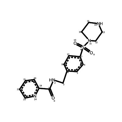 O=C(NCc1ccc(S(=O)(=O)N2CCNCC2)cc1)c1ccccn1